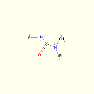 CCNC(=O)N(C)C(C)(C)C